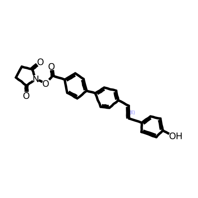 O=C(ON1C(=O)CCC1=O)c1ccc(-c2ccc(/C=C/c3ccc(O)cc3)cc2)cc1